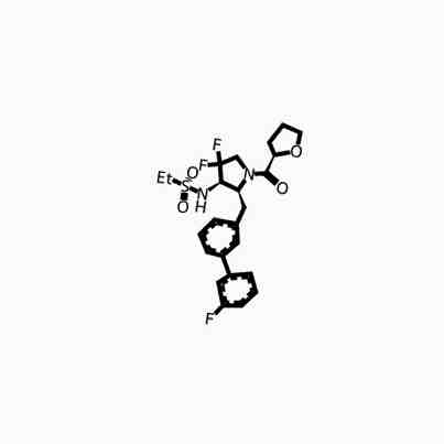 CCS(=O)(=O)N[C@@H]1[C@H](Cc2cccc(-c3cccc(F)c3)c2)N(C(=O)[C@H]2CCCO2)CC1(F)F